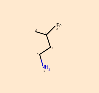 C[C](C)C(C)CCN